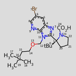 CC(C)(C)[C@]1(c2nc3cc(Br)cnc3n2COCC[Si](C)(C)C)CCCN1C(=O)O